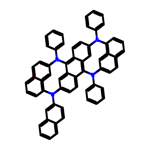 c1ccc(N(c2ccccc2)c2ccc3c(N(c4ccccc4)c4ccccc4)c4cc(N(c5ccccc5)c5ccc6ccccc6c5)ccc4c(N(c4ccccc4)c4ccccc4)c3c2)cc1